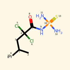 CC(C)C(C)CC(Cl)(Cl)C(=O)NP(N)(N)=S